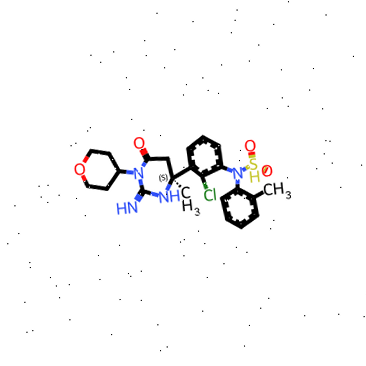 Cc1ccccc1N(c1cccc([C@]2(C)CC(=O)N(C3CCOCC3)C(=N)N2)c1Cl)[SH](=O)=O